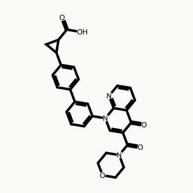 O=C(O)C1CC1c1ccc(-c2cccc(-n3cc(C(=O)N4CCOCC4)c(=O)c4cccnc43)c2)cc1